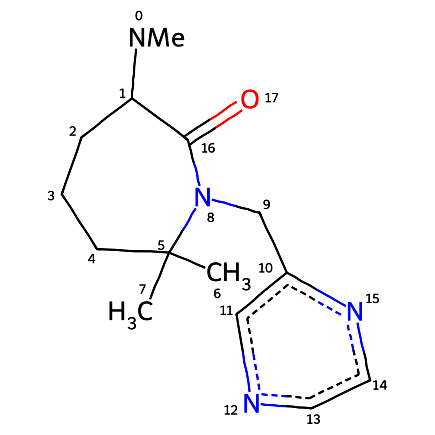 CNC1CCCC(C)(C)N(Cc2cnccn2)C1=O